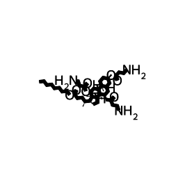 CCCCCCCCOC(=O)CC[C@@H](C)[C@H]1CC[C@H]2[C@@H]3[C@H](CC(=O)CCN)C[C@@H]4C[C@H](OC(=O)CCN)CC[C@]4(C)[C@H]3C[C@H](OC(=O)CCN)[C@]12C